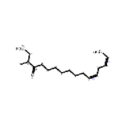 CCCCC/C=C\C/C=C\CCCCCCCC(=O)N(C)CC(=O)O